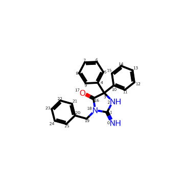 N=C1NC(c2ccccc2)(c2ccccc2)C(=O)N1Cc1ccccc1